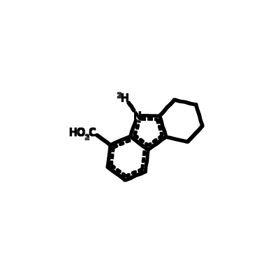 [2H]n1c2c(c3cccc(C(=O)O)c31)CCCC2